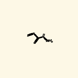 NNC(=O)N=S